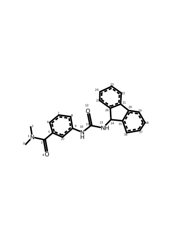 CN(C)C(=O)c1cccc(NC(=O)NC2c3ccccc3-c3ccccc32)c1